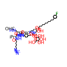 CCCCCCCCCCCCCC[C@@H](OC(=O)CCCCCCCCCCc1ccc(F)cc1)[C@@H](O)[C@H](CO[C@H]1OC(CO)[C@H](O)[C@H](O)C1O)NC(=O)OCc1ccc(NC(=O)[C@H](CCCNC=O)NC(=O)C(NC(=O)CCCCCN=[N+]=[N-])C(C)C)cc1